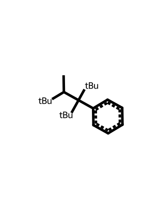 CC(C(C)(C)C)C(c1ccccc1)(C(C)(C)C)C(C)(C)C